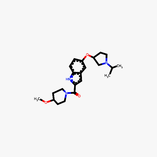 COC1CCN(C(=O)c2cc3cc(OC4CCN(C(C)C)C4)ccc3[nH]2)CC1